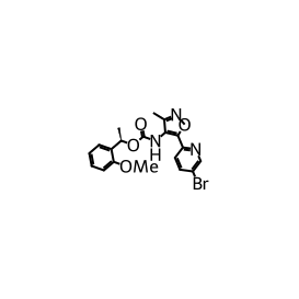 COc1ccccc1[C@@H](C)OC(=O)Nc1c(C)noc1-c1ccc(Br)cn1